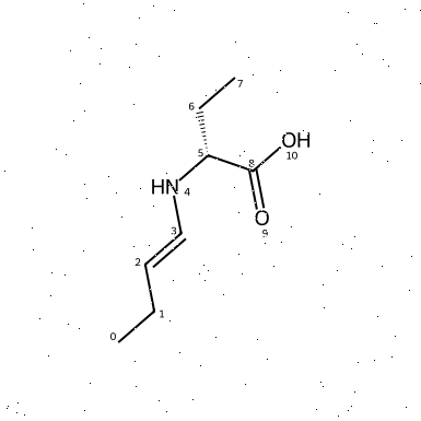 CC/C=C/N[C@H](CC)C(=O)O